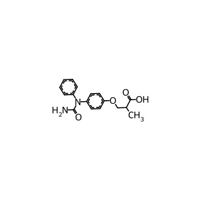 CC(COc1ccc(N(C(N)=O)c2ccccc2)cc1)C(=O)O